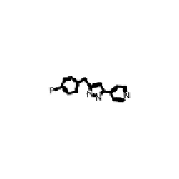 Fc1ccc(CC2=CC(c3ccncc3)=N[N]2)cc1